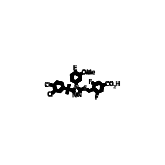 COc1cc(-n2c(SCc3c(F)cc(C(=O)O)cc3F)nnc2C(C)(C)c2ccc(Cl)c(Cl)c2)ccc1F